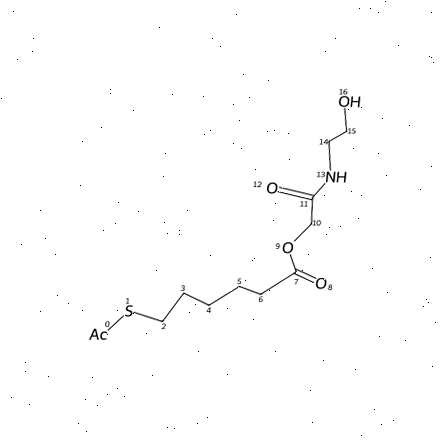 CC(=O)SCCCCCC(=O)OCC(=O)NCCO